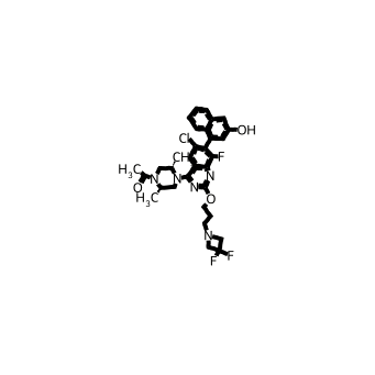 CC(=O)N1C[C@H](C)N(c2nc(OCCCN3CC(F)(F)C3)nc3c(F)c(-c4cc(O)cc5ccccc45)c(Cl)cc23)C[C@H]1C